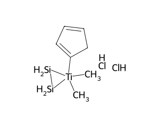 Cl.Cl.[CH3][Ti]1([CH3])([C]2=CC=CC2)[SiH2][SiH2]1